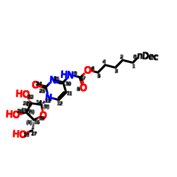 CCCCCCCCCCCCCCCOC(=O)Nc1ccn([C@@H]2O[C@H](CO)[C@@H](O)[C@@H]2O)c(=O)n1